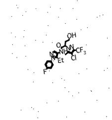 CCc1c(NC(=O)C(CCO)n2nc(C(F)(F)F)c(Cl)c2C)cnn1-c1ccc(F)cc1